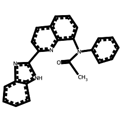 CC(=O)N(c1ccccc1)c1cccc2ccc(-c3nc4ccccc4[nH]3)nc12